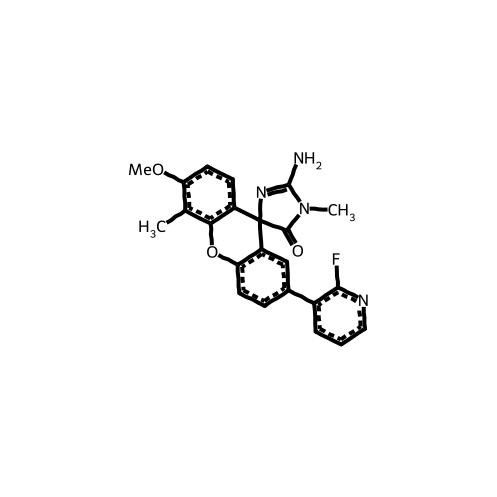 COc1ccc2c(c1C)Oc1ccc(-c3cccnc3F)cc1C21N=C(N)N(C)C1=O